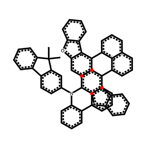 CC1(C)c2ccccc2-c2ccc(N(c3ccccc3-c3ccccc3)c3ccc(-c4cccc5cccc(-c6cccc7oc8ccccc8c67)c45)c4c3oc3ccccc34)cc21